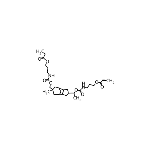 C=CC(=O)OCCCNC(=O)OCC1(C)CC2CC(C1)C1CC(C(C)OC(=O)NCCCOC(=O)C=C)CC21